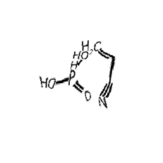 C=CC#N.O=[PH](O)O